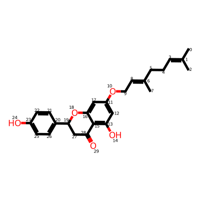 CC(C)=CCC/C(C)=C/COc1cc(O)c2c(c1)OC(c1ccc(O)cc1)CC2=O